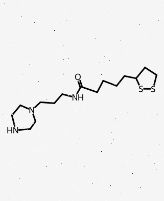 O=C(CCCCC1CCSS1)NCCCN1CCNCC1